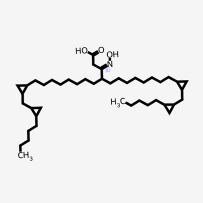 CCCCCC1CC1CC1CC1CCCCCCCCC(CCCCCCCCC1CC1CC1CC1CCCCC)/C(CC(=O)O)=N/O